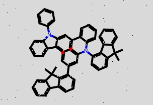 CC1(C)c2ccccc2-c2c(N(c3cccc(-c4cccc5c4C(C)(C)c4ccccc4-5)c3)c3ccccc3-c3ccc4c5ccccc5n(-c5ccccc5)c4c3)cccc21